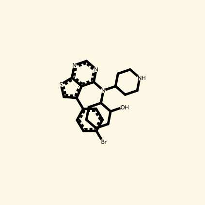 OC1CCCCC1N(c1ncnc2scc(-c3ccc(Br)cc3)c12)C1CCNCC1